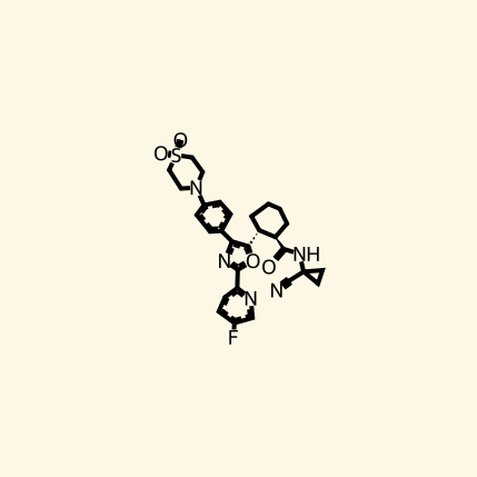 N#CC1(NC(=O)[C@@H]2CCCC[C@H]2c2oc(-c3ccc(F)cn3)nc2-c2ccc(N3CCS(=O)(=O)CC3)cc2)CC1